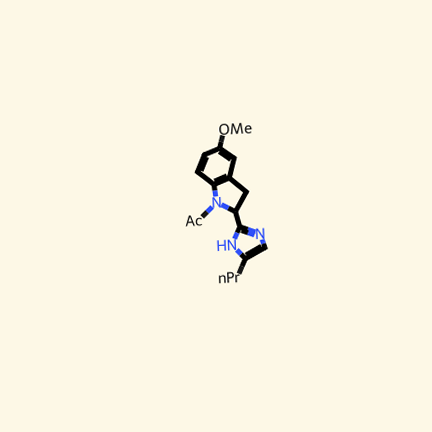 CCCc1cnc(C2Cc3cc(OC)ccc3N2C(C)=O)[nH]1